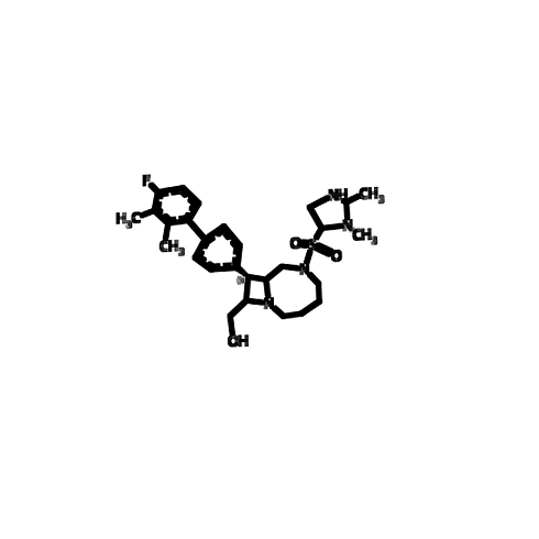 Cc1c(F)ccc(-c2ccc([C@@H]3C(CO)N4CCCCN(S(=O)(=O)C5CNC(C)N5C)CC34)cc2)c1C